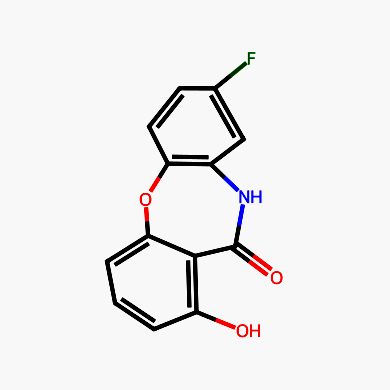 O=C1Nc2cc(F)ccc2Oc2cccc(O)c21